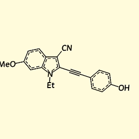 CCn1c(C#Cc2ccc(O)cc2)c(C#N)c2ccc(OC)cc21